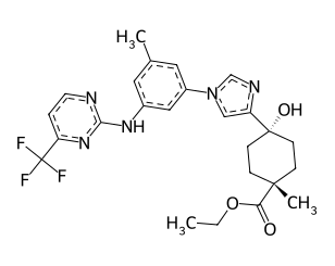 CCOC(=O)[C@]1(C)CC[C@@](O)(c2cn(-c3cc(C)cc(Nc4nccc(C(F)(F)F)n4)c3)cn2)CC1